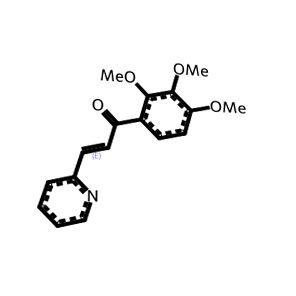 COc1ccc(C(=O)/C=C/c2ccccn2)c(OC)c1OC